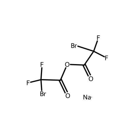 O=C(OC(=O)C(F)(F)Br)C(F)(F)Br.[Na]